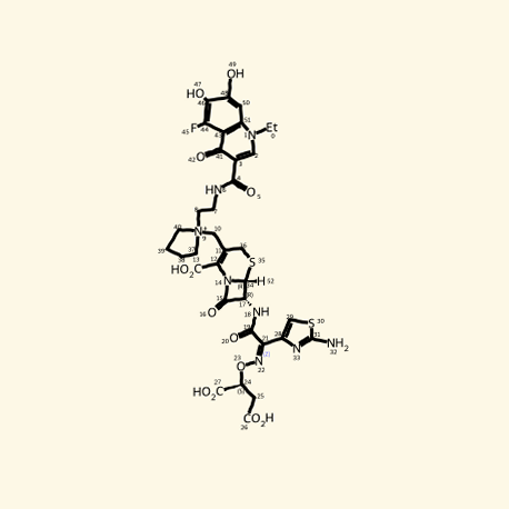 CCn1cc(C(=O)NCC[N+]2(CC3=C(C(=O)O)N4C(=O)[C@@H](NC(=O)/C(=N\O[C@@H](CC(=O)O)C(=O)O)c5csc(N)n5)[C@H]4SC3)CCCC2)c(=O)c2c(F)c(O)c(O)cc21